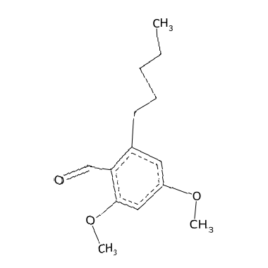 CCCCCc1cc(OC)cc(OC)c1C=O